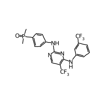 CP(C)(=O)c1ccc(Nc2ncc(C(F)(F)F)c(Nc3cccc(C(F)(F)F)c3)n2)cc1